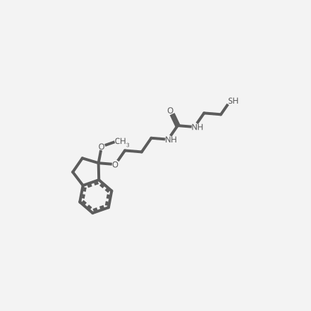 COC1(OCCCNC(=O)NCCS)CCc2ccccc21